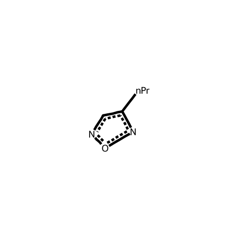 CCCc1cnon1